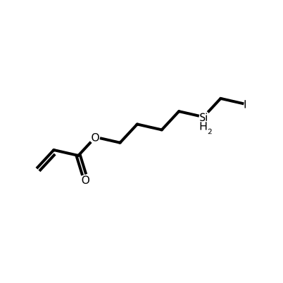 C=CC(=O)OCCCC[SiH2]CI